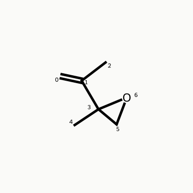 C=C(C)C1(C)CO1